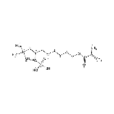 C=C(C)C(=O)OCCCCCCC(C[N+](C)(C)C)OP(=O)(O)O